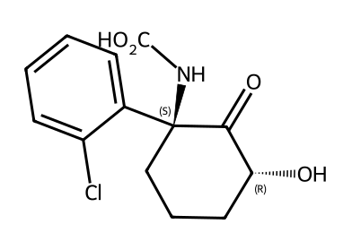 O=C(O)N[C@]1(c2ccccc2Cl)CCC[C@@H](O)C1=O